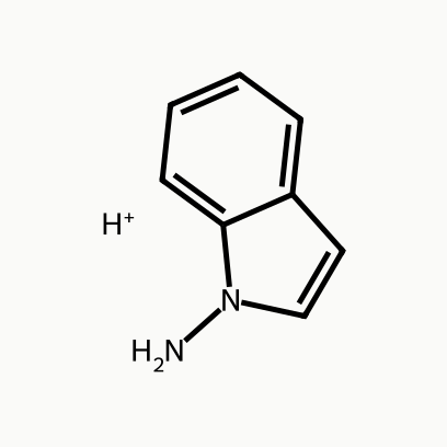 Nn1ccc2ccccc21.[H+]